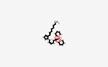 CCCCCC/C=C/C1=CCC[C@@H]1C/C=C\CCC(OC1CCCCO1)(OC1CCCCO1)C(=O)O